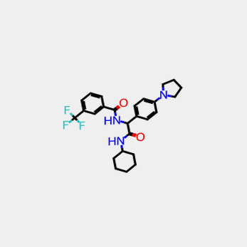 O=C(NC(C(=O)NC1CCCCC1)c1ccc(N2CCCC2)cc1)c1cccc(C(F)(F)F)c1